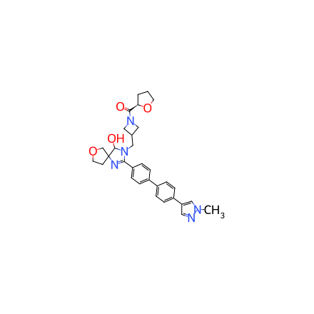 Cn1cc(-c2ccc(-c3ccc(C4=NC5(CCOC5)C(O)N4CC4CN(C(=O)[C@H]5CCCO5)C4)cc3)cc2)cn1